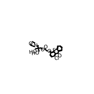 O=C(COc1ccc(Cl)c2c(=O)c3ccccc3sc12)OCC(CO)(CO)CN1CCOCC1